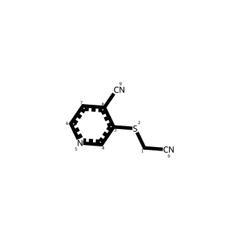 N#CCSc1cnccc1C#N